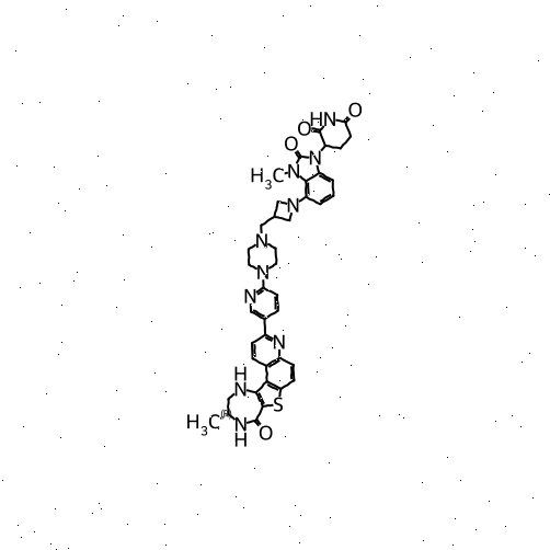 C[C@@H]1CNc2c(sc3ccc4nc(-c5ccc(N6CCN(CC7CN(c8cccc9c8n(C)c(=O)n9C8CCC(=O)NC8=O)C7)CC6)nc5)ccc4c23)C(=O)N1